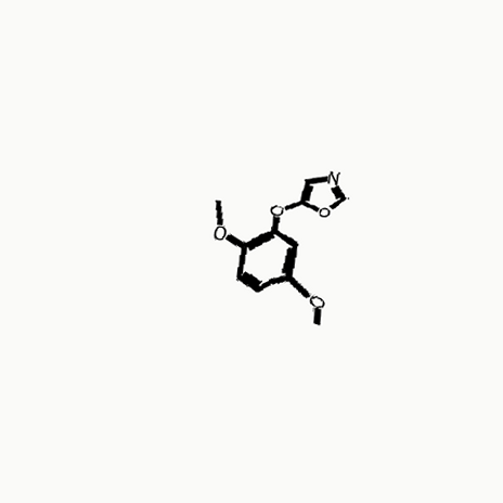 COc1ccc(OC)c(Oc2cn[c]o2)c1